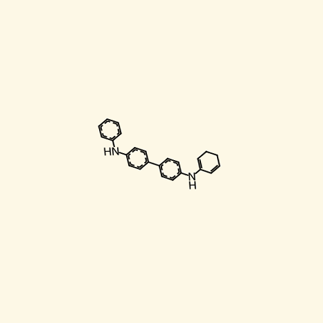 C1=CC(Nc2ccc(-c3ccc(Nc4ccccc4)cc3)cc2)=CCC1